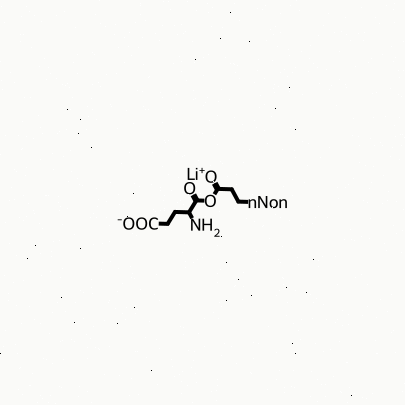 CCCCCCCCCCCC(=O)OC(=O)C(N)CCC(=O)[O-].[Li+]